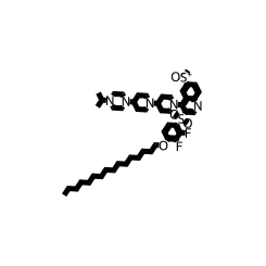 CCCCCCCCCCCCCCCCOc1ccc(S(=O)(=O)c2cnc3ccc([S+](C)[O-])cc3c2N2CCC(N3CCC(N4CCN(C(C)C)CC4)CC3)CC2)c(F)c1F